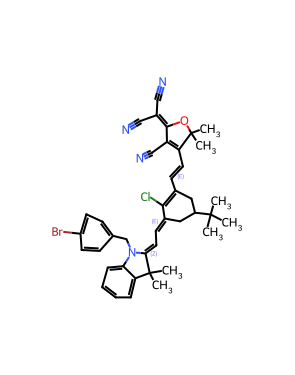 CC1(C)OC(=C(C#N)C#N)C(C#N)=C1/C=C/C1=C(Cl)C(=C/C=C2\N(Cc3ccc(Br)cc3)c3ccccc3C2(C)C)/CC(C(C)(C)C)C1